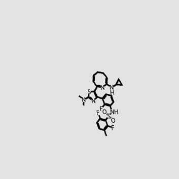 Cc1ccc(F)c(S(=O)(=O)Nc2cccc(-c3nc(N(C)C)sc3C3=N/C(NC4CC4)=C\CC/C=C\3)c2F)c1F